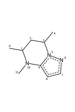 CC1CC(C)n2nccc2N1C